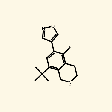 CC(C)(C)c1cc(-c2cnoc2)c(F)c2c1CNCC2